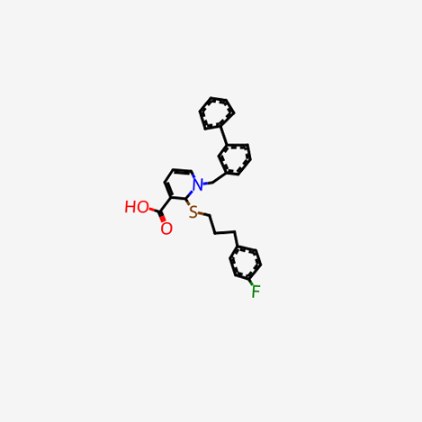 O=C(O)C1=CC=CN(Cc2cccc(-c3ccccc3)c2)C1SCCCc1ccc(F)cc1